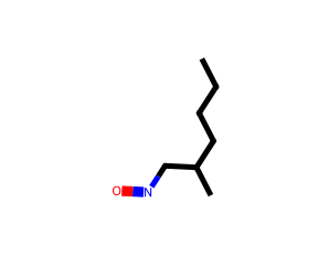 CCCCC(C)CN=O